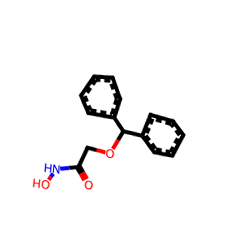 O=C(COC(c1ccccc1)c1ccccc1)NO